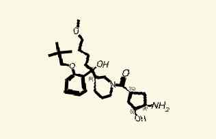 COCCCC[C@@](O)(c1ccccc1OCC(C)(C)C)[C@@H]1CCCN(C(=O)[C@H]2C[C@@H](N)[C@@H](O)C2)C1